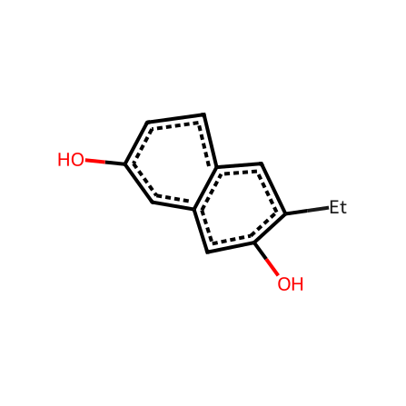 CCc1cc2ccc(O)cc2cc1O